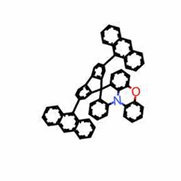 c1ccc2c(c1)Oc1cccc3c1N2c1ccccc1C31c2cc(-c3c4ccccc4cc4ccccc34)ccc2-c2ccc(-c3c4ccccc4cc4ccccc34)cc21